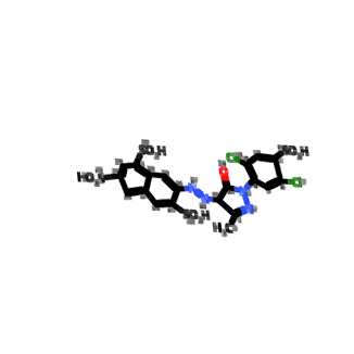 CC1=NN(c2cc(Cl)c(S(=O)(=O)O)cc2Cl)C(=O)C1N=Nc1cc2c(S(=O)(=O)O)cc(S(=O)(=O)O)cc2cc1S(=O)(=O)O